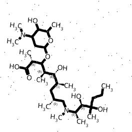 CCCC(C)(O)[C@H](O)[C@@H](C)N(C)C[C@H](C)C[C@H](C)[C@@H](O)[C@@H](C)C(OC1CC(N(C)C)C(O)C(C)O1)[C@@H](C)C(=O)O